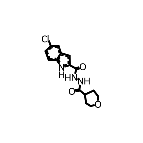 O=C(NNC(=O)C1CCOCC1)c1cc2cc(Cl)ccc2[nH]1